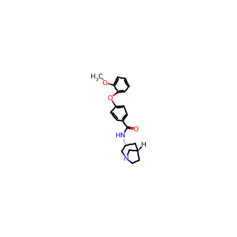 COc1ccccc1Oc1ccc(C(=O)N[C@@H]2C[C@@H]3CCN(C3)C2)cc1